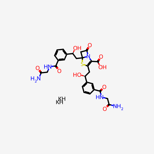 NC(=O)CNC(=O)c1cccc([C@@H](O)CC2=C(C(=O)O)N3C(=O)CC3(C[C@H](O)c3cccc(C(=O)NCC(N)=O)c3)S2)c1.[KH].[KH]